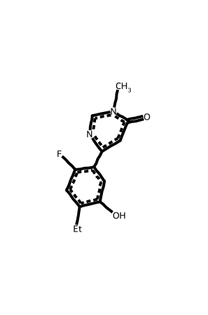 CCc1cc(F)c(-c2cc(=O)n(C)cn2)cc1O